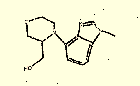 Cn1cnc2c(N3CCOCC3CO)cccc21